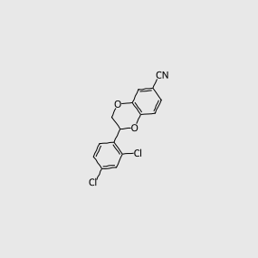 N#Cc1ccc2c(c1)OCC(c1ccc(Cl)cc1Cl)O2